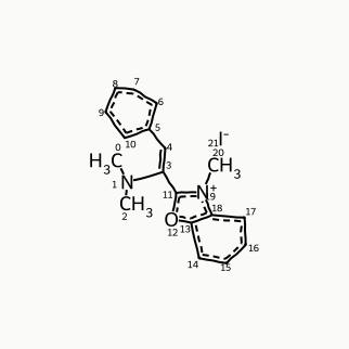 CN(C)C(=Cc1ccccc1)c1oc2ccccc2[n+]1C.[I-]